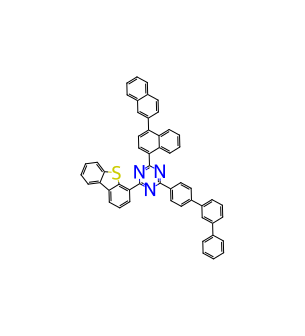 c1ccc(-c2cccc(-c3ccc(-c4nc(-c5ccc(-c6ccc7ccccc7c6)c6ccccc56)nc(-c5cccc6c5sc5ccccc56)n4)cc3)c2)cc1